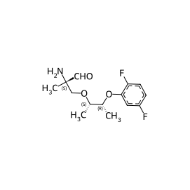 C[C@H](OC[C@](C)(N)C=O)[C@@H](C)Oc1cc(F)ccc1F